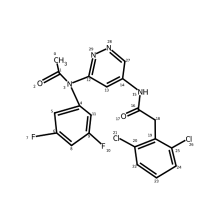 CC(=O)N(c1cc(F)cc(F)c1)c1cc(NC(=O)Cc2c(Cl)cccc2Cl)cnn1